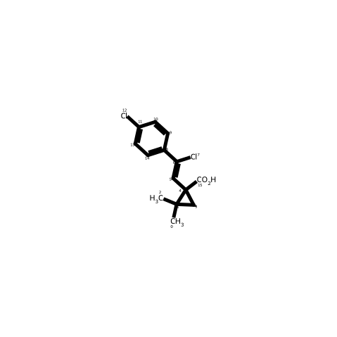 CC1(C)CC1(/C=C(\Cl)c1ccc(Cl)cc1)C(=O)O